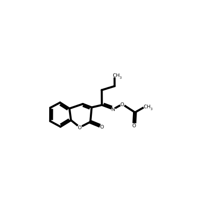 CCC/C(=N\OC(C)=O)c1cc2ccccc2oc1=O